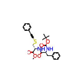 COC(=O)[C@H](CSC#Cc1ccccc1)NC(=O)[C@H](Cc1ccccc1)NC(=O)OC(C)(C)C